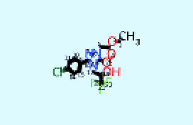 CCOC(=O)Cn1nc(-c2ccc(Cl)cc2)n(C[C@H](O)C(F)(F)F)c1=O